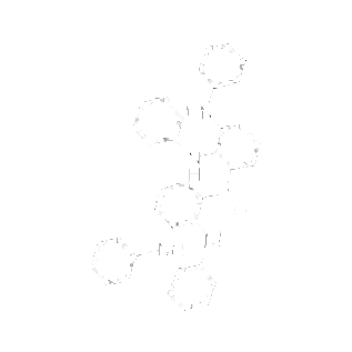 O=[P](c1cccc(Nc2ccccc2)c1Nc1ccccc1)c1cccc(Nc2ccccc2)c1Nc1ccccc1